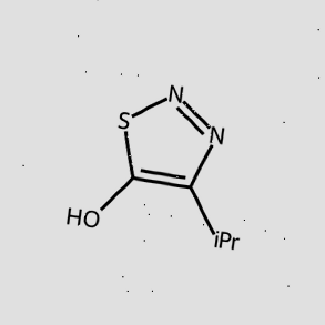 CC(C)c1nnsc1O